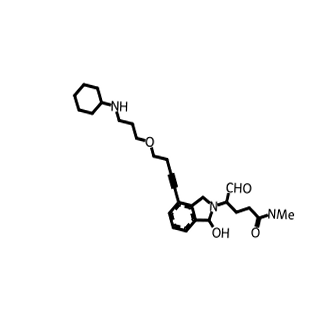 CNC(=O)CCC(C=O)N1Cc2c(C#CCCOCCCNC3CCCCC3)cccc2C1O